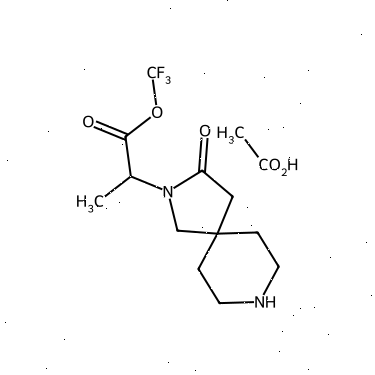 CC(=O)O.CC(C(=O)OC(F)(F)F)N1CC2(CCNCC2)CC1=O